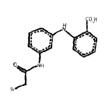 O=C(CBr)Nc1cccc(Nc2ccccc2C(=O)O)c1